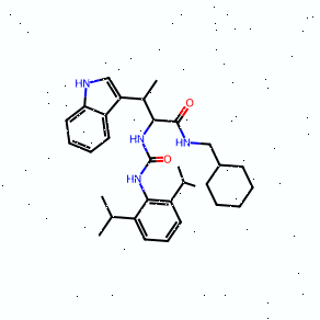 CC(C)c1cccc(C(C)C)c1NC(=O)NC(C(=O)NCC1CCCCC1)C(C)c1c[nH]c2ccccc12